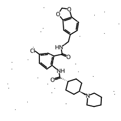 O=C(NCc1ccc2c(c1)OCO2)c1cc(Cl)ccc1NC(=O)[C@H]1CC[C@H](N2CCCCC2)CC1